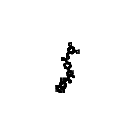 Cc1nc(C2CCN(C(=O)OCc3cc(Cl)cc(Cl)c3)CC2)sc1C(=O)Nc1ccc2[nH]nnc2c1